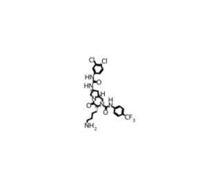 NCCCC[C@@H]1C(=O)N2C[C@H](NC(=O)Nc3ccc(Cl)c(Cl)c3)C[C@H]2CN1C(=O)Nc1ccc(C(F)(F)F)cc1